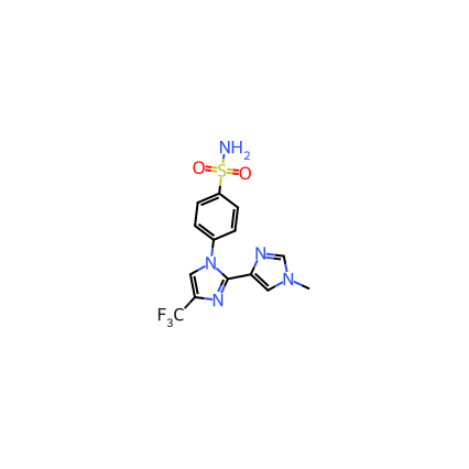 Cn1cnc(-c2nc(C(F)(F)F)cn2-c2ccc(S(N)(=O)=O)cc2)c1